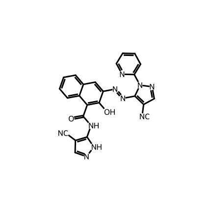 [C-]#[N+]c1cnn(-c2ccccn2)c1/N=N/c1cc2ccccc2c(C(=O)Nc2[nH]ncc2C#N)c1O